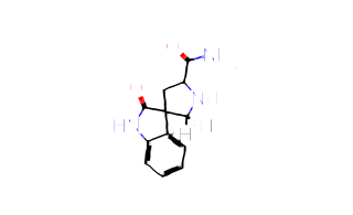 [2H]C1([2H])NC(C(N)=O)CC12C(=O)Nc1ccccc12